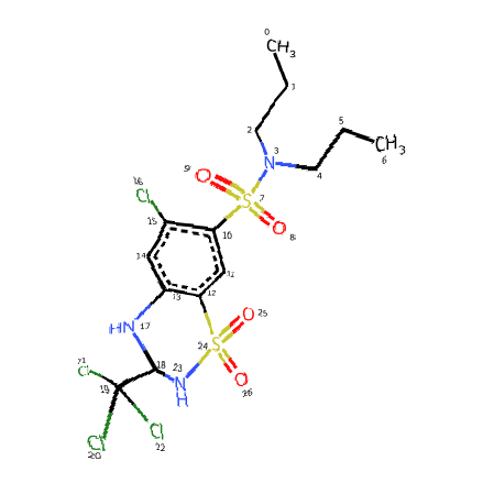 CCCN(CCC)S(=O)(=O)c1cc2c(cc1Cl)NC(C(Cl)(Cl)Cl)NS2(=O)=O